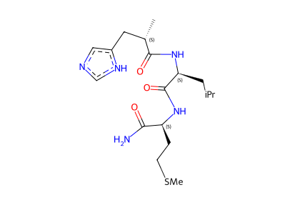 CSCC[C@H](NC(=O)[C@H](CC(C)C)NC(=O)[C@@H](C)Cc1cnc[nH]1)C(N)=O